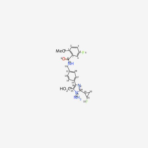 COc1ccc(F)cc1C(=O)NCc1ccc(-c2nc(C3CC3F)n(N)c2C(=O)O)cc1